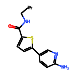 CC(C)CNC(=O)c1ccc(-c2ccc(N)nc2)s1